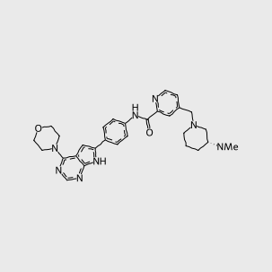 CN[C@@H]1CCCN(Cc2ccnc(C(=O)Nc3ccc(-c4cc5c(N6CCOCC6)ncnc5[nH]4)cc3)c2)C1